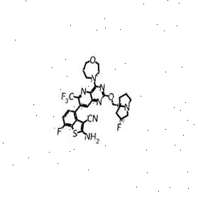 N#Cc1c(N)sc2c(F)ccc(-c3cc4nc(OC[C@@]56CCCN5C[C@H](F)C6)nc(N5CCCOCC5)c4nc3C(F)(F)F)c12